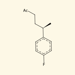 CC(=O)CC[C@@H](C)c1ccc(F)cc1